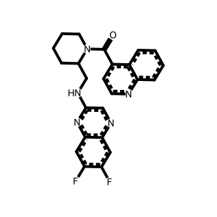 O=C(c1ccnc2ccccc12)N1CCCCC1CNc1cnc2cc(F)c(F)cc2n1